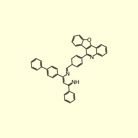 N=C(/C=C(\N=C\C1C=CC(c2nc3ccccc3c3oc4ccccc4c23)=CC1)c1ccc(-c2ccccc2)cc1)c1ccccc1